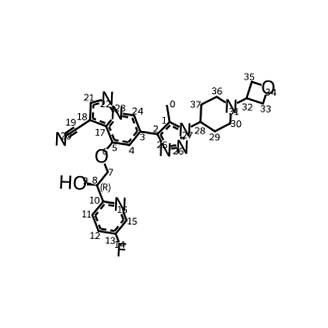 Cc1c(-c2cc(OC[C@H](O)c3ccc(F)cn3)c3c(C#N)cnn3c2)nnn1C1CCN(C2COC2)CC1